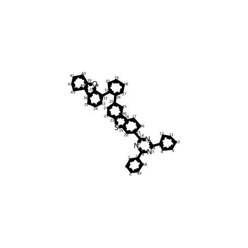 c1ccc(-c2nc(-c3ccccc3)nc(-c3ccc4c(c3)sc3ccc(-c5ccccc5-c5cccc6c5oc5ccccc56)cc34)n2)cc1